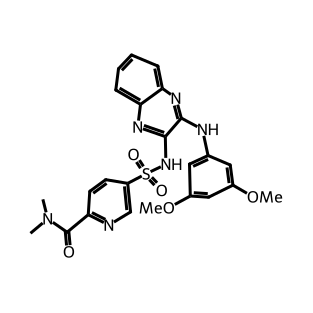 COc1cc(Nc2nc3ccccc3nc2NS(=O)(=O)c2ccc(C(=O)N(C)C)nc2)cc(OC)c1